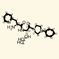 C[C@H](NC(=O)[C@@H](N)Cc1ccccn1)C(=O)N1CCN(c2ccccc2)CC1.Cl.Cl.Cl